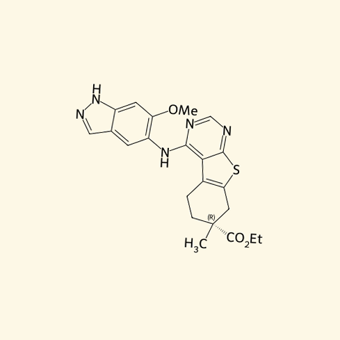 CCOC(=O)[C@]1(C)CCc2c(sc3ncnc(Nc4cc5cn[nH]c5cc4OC)c23)C1